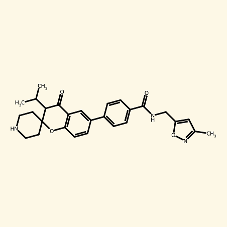 Cc1cc(CNC(=O)c2ccc(-c3ccc4c(c3)C(=O)C(C(C)C)C3(CCNCC3)O4)cc2)on1